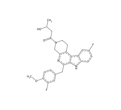 COc1ccc(Cc2nc3c(c4c2[nH]c2ccc(F)cc24)CCN(C(=O)CC(C)O)C3)cc1F